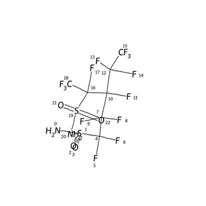 NS(=O)(=O)C(F)(F)C(F)(F)C(F)(C(F)(F)C(F)(F)F)C(F)(C(F)(F)F)S(N)(=O)=O